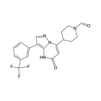 O=CN1CCC(c2cc(=O)[nH]c3c(-c4cccc(C(F)(F)F)c4)cnn23)CC1